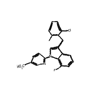 Cc1cccc(Cl)c1Cc1cn(-c2ccc(C(=O)O)cn2)c2c(F)cccc12